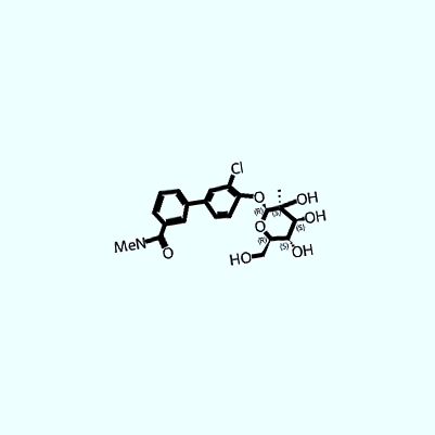 CNC(=O)c1cccc(-c2ccc(O[C@H]3O[C@H](CO)[C@@H](O)[C@H](O)[C@]3(C)O)c(Cl)c2)c1